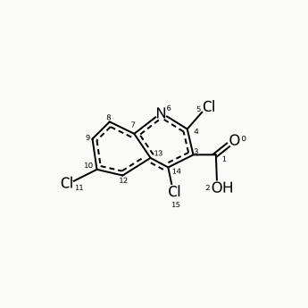 O=C(O)c1c(Cl)nc2ccc(Cl)cc2c1Cl